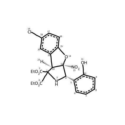 CCOC(=O)C1(C(=O)OCC)N[C@@H](c2ccccc2O)[C@]2([N+](=O)[O-])Oc3ccc(Cl)cc3[C@H]12